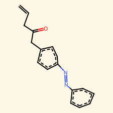 C=CCC(=O)Cc1ccc(N=Nc2ccccc2)cc1